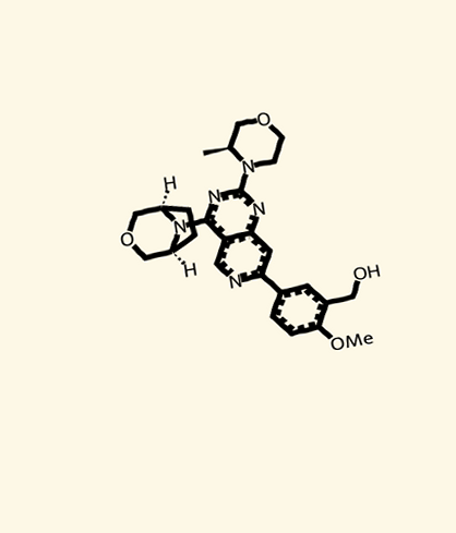 COc1ccc(-c2cc3nc(N4CCOC[C@@H]4C)nc(N4[C@@H]5CC[C@H]4COC5)c3cn2)cc1CO